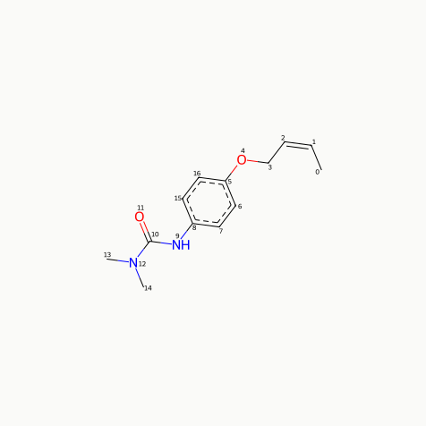 C/C=C\COc1ccc(NC(=O)N(C)C)cc1